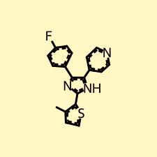 Cc1ccsc1-c1nc(-c2ccc(F)cc2)c(-c2ccncc2)[nH]1